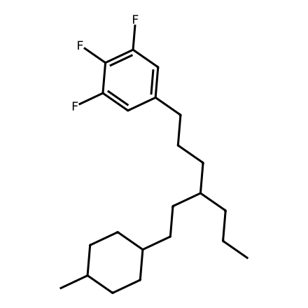 CCCC(CCCc1cc(F)c(F)c(F)c1)CCC1CCC(C)CC1